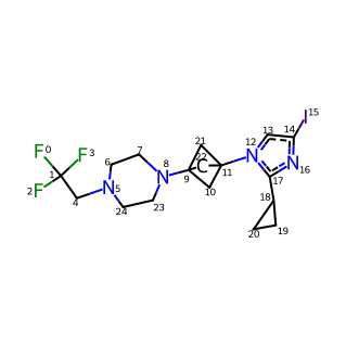 FC(F)(F)CN1CCN(C23CC(n4cc(I)nc4C4CC4)(C2)C3)CC1